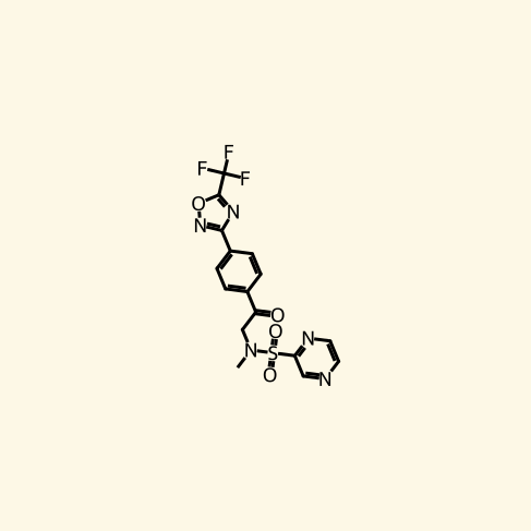 CN(CC(=O)c1ccc(-c2noc(C(F)(F)F)n2)cc1)S(=O)(=O)c1cnccn1